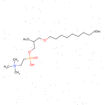 CCCCCCCCCCCCCCCCCCOCC(COP(=O)(O)CC[N+](C)(C)C)OC(C)=O